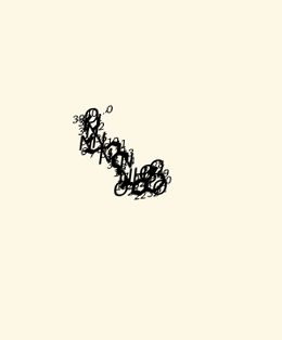 C[C@@H]1CN(c2nccc(-c3ccc4cnc(CNC(=O)c5ccc6c(c5)S(=O)(=O)CCOC6)cc4n3)n2)C[C@H](C)O1